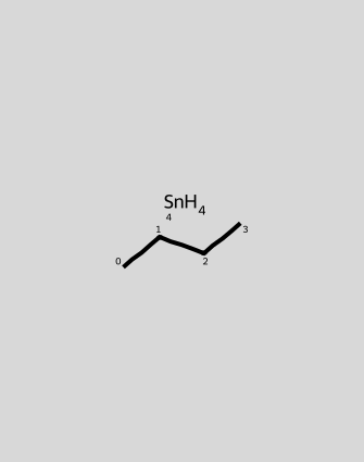 CCCC.[SnH4]